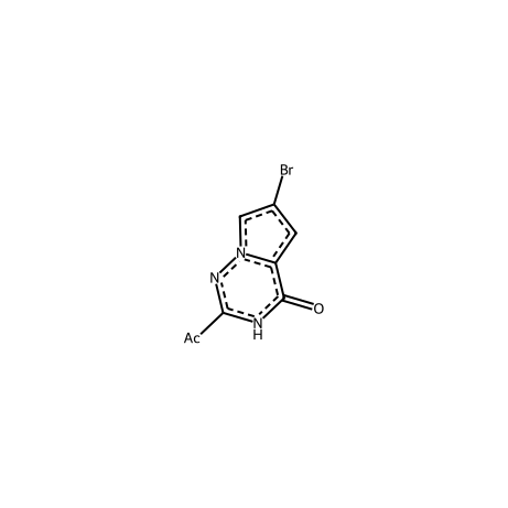 CC(=O)c1nn2cc(Br)cc2c(=O)[nH]1